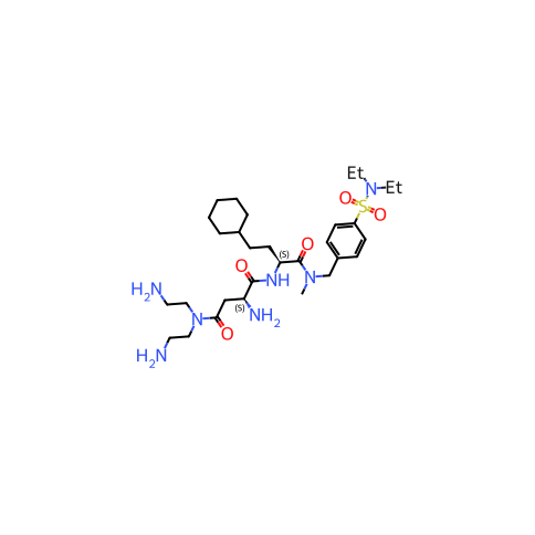 CCN(CC)S(=O)(=O)c1ccc(CN(C)C(=O)[C@H](CCC2CCCCC2)NC(=O)[C@@H](N)CC(=O)N(CCN)CCN)cc1